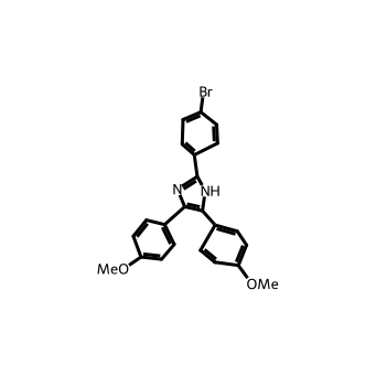 COc1ccc(-c2nc(-c3ccc(Br)cc3)[nH]c2-c2ccc(OC)cc2)cc1